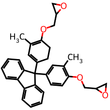 CC1=C(OCC2CO2)CCC(C2(c3ccc(OCC4CO4)c(C)c3)c3ccccc3-c3ccccc32)=C1